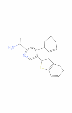 CC(N)c1cc(C2C=CCCC2)c(C2CC3=C(C=CCC3)S2)cn1